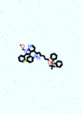 COCn1c(-c2ccccc2)cc2c(-c3cc(CCCO[Si](c4ccccc4)(c4ccccc4)C(C)(C)C)nn3-c3ccc(F)cc3)ccnc21